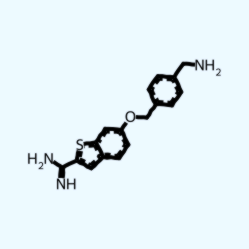 N=C(N)c1cc2ccc(OCc3ccc(CN)cc3)cc2s1